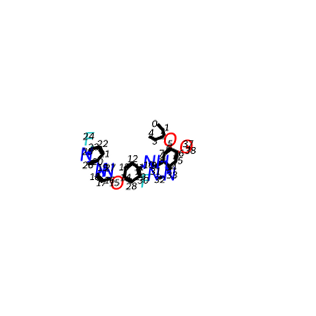 CCC(CC)Oc1cc2c(Nc3ccc(Oc4ccn(-c5ccc(F)nc5)n4)cc3F)ncnc2cc1OC